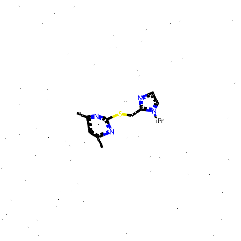 Cc1cc(C)nc(SCc2nccn2C(C)C)n1